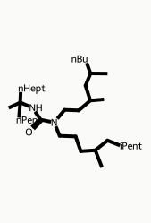 CCCCCCCC(C)(CCCCC)NC(=O)N(CCCC(C)CC(C)CCC)CCC(C)CC(C)CCCC